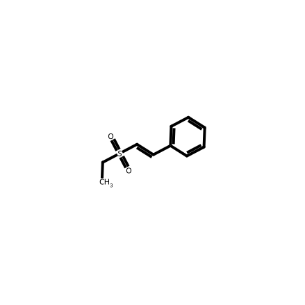 CCS(=O)(=O)C=Cc1ccccc1